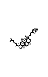 CC(C)CCC[C@@H](C)[C@H]1CC[C@H]2[C@@H]3CC[C@H]4CCC(NCCc5c[nH]cn5)C(O)(O)[C@]4(C)[C@H]3CC[C@]12C